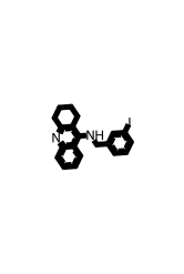 Ic1cccc(CNc2c3c(nc4ccccc24)CCCC3)c1